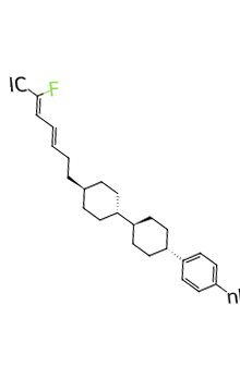 CCCCCCCc1ccc([C@H]2CC[C@H]([C@H]3CC[C@H](CCC=CC=C(F)C#N)CC3)CC2)cc1